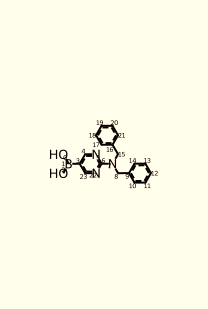 OB(O)c1cnc(N(Cc2ccccc2)Cc2ccccc2)nc1